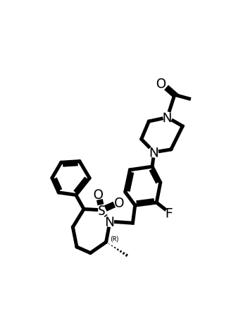 CC(=O)N1CCN(c2ccc(CN3[C@H](C)CCCC(c4ccccc4)S3(=O)=O)c(F)c2)CC1